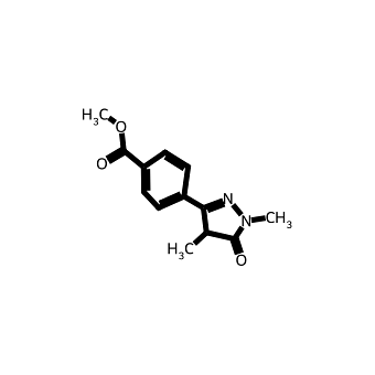 COC(=O)c1ccc(C2=NN(C)C(=O)C2C)cc1